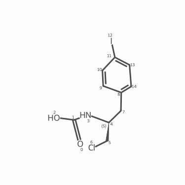 O=C(O)N[C@H](CCl)Cc1ccc(I)cc1